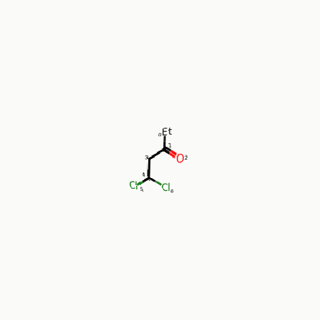 CCC(=O)C[C](Cl)Cl